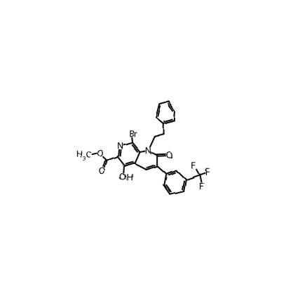 COC(=O)c1nc(Br)c2c(cc(-c3cccc(C(F)(F)F)c3)c(=O)n2CCc2ccccc2)c1O